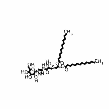 CCCCCCCCCCCCCC(=O)OC[C@H](CSC[C@@H](N)C(=O)Nc1cn([C@@H]2OC(CO)C(O)C(O)C2O)nn1)OC(=O)CCCCCCCCCCCCC